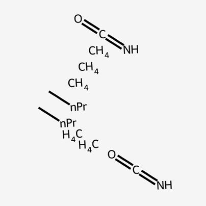 C.C.C.C.C.CCCC.CCCC.N=C=O.N=C=O